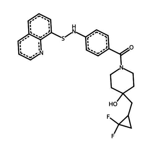 O=C(c1ccc(NSc2cccc3cccnc23)cc1)N1CCC(O)(CC2CC2(F)F)CC1